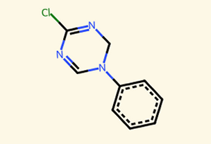 ClC1=NCN(c2ccccc2)C=N1